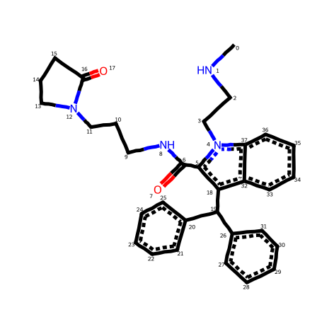 CNCCn1c(C(=O)NCCCN2CCCC2=O)c(C(c2ccccc2)c2ccccc2)c2ccccc21